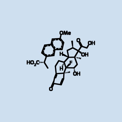 COc1ccc2cc([C@H](C)C(=O)O)ccc2c1.C[C@@H]1C[C@H]2[C@@H]3CCC4=CC(=O)C=C[C@]4(C)[C@@]3(F)[C@@H](O)C[C@]2(C)[C@@]1(O)C(=O)CO